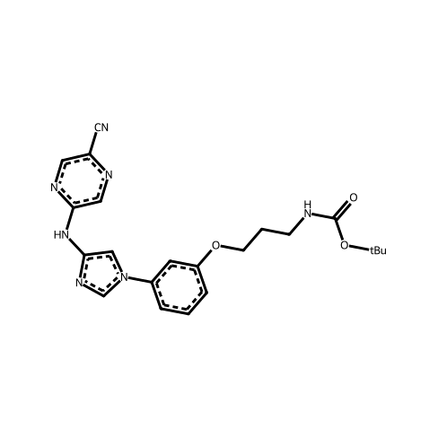 CC(C)(C)OC(=O)NCCCOc1cccc(-n2cnc(Nc3cnc(C#N)cn3)c2)c1